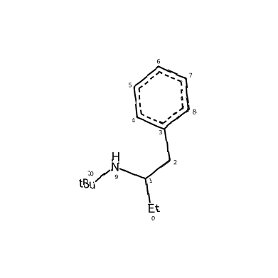 CCC(Cc1ccccc1)NC(C)(C)C